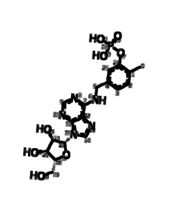 Cc1ccc(CNc2ncnc3c2ncn3[C@@H]2O[C@H](CO)[C@@H](O)[C@H]2O)cc1OP(=O)(O)O